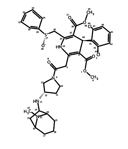 COC(=O)C1=C(CC(=O)N2CC[C@H](NC3CC4CCCC3N4C)C2)NC(C[S@+]([O-])c2ccccc2)=C(C(=O)OC)[C@H]1c1c(Cl)cccc1Cl